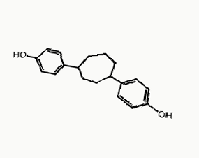 Oc1ccc(C2CCCC(c3ccc(O)cc3)CC2)cc1